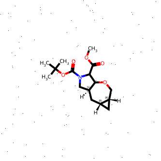 COC(=O)C1C2OC[C@@H]3C[C@@H]3C[C@H]2CN1C(=O)OC(C)(C)C